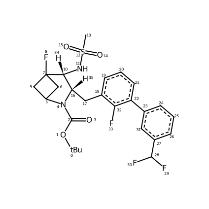 CC(C)(C)OC(=O)N1C2CC(F)(C2)[C@H](NS(C)(=O)=O)[C@@H]1Cc1cccc(-c2cccc(C(F)F)c2)c1F